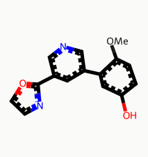 COc1ccc(O)cc1-c1cncc(-c2ncco2)c1